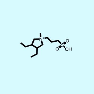 CCC1C[N+](C)(CCCS(=O)(=O)O)CC1CC